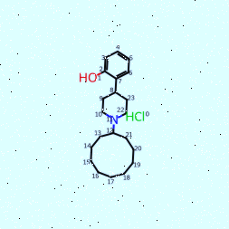 Cl.Oc1ccccc1C1CCN(C2CCCCCCCCC2)CC1